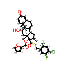 C[C@@H]1CC2C3CCC4=CC(=O)C=CC4(C)[C@@]3(Cl)[C@@H](O)CC2(C)[C@@]1(OC(=O)c1ccco1)C(=O)SCc1cc(F)c(Cl)cc1Cl